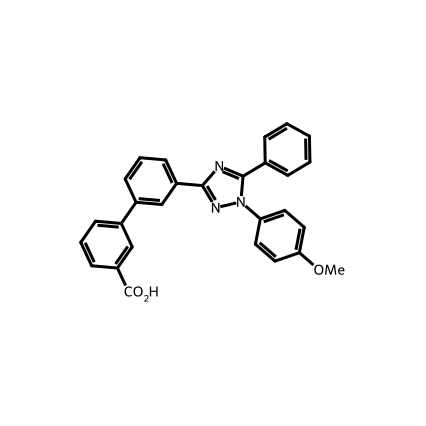 COc1ccc(-n2nc(-c3cccc(-c4cccc(C(=O)O)c4)c3)nc2-c2ccccc2)cc1